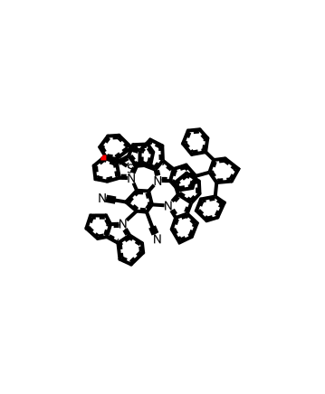 N#Cc1c(-n2c3ccccc3c3ccccc32)c(C#N)c(-n2c3ccccc3c3ccccc32)c(-n2c3ccc(-c4c(-c5ccccc5)cccc4-c4ccccc4)cc3c3ccc4c5ccccc5sc4c32)c1-n1c2ccccc2c2ccccc21